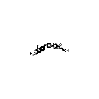 CCc1cc2ccc(CN3CCN(c4ncc(C(=O)NCCO)cn4)CC3)cc2[nH]c1=O